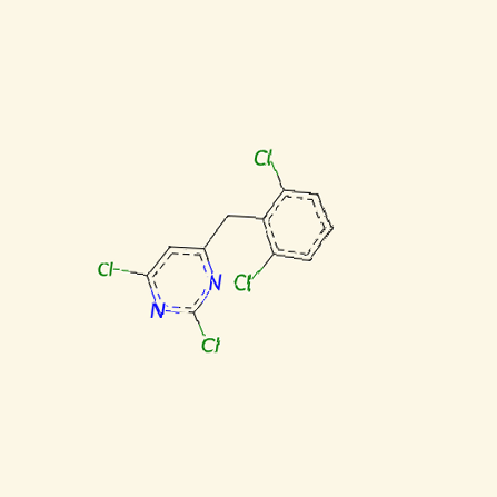 Clc1cc(Cc2c(Cl)cccc2Cl)nc(Cl)n1